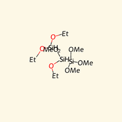 CCO[SiH2]OCC.CCO[SiH](OC)[Si](OC)(OC)OC